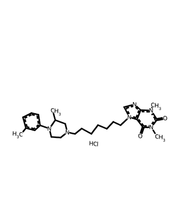 Cc1cccc(N2CCN(CCCCCCCn3cnc4c3c(=O)n(C)c(=O)n4C)CC2C)c1.Cl